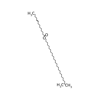 CCCCC=CCCCCCCCC(=O)OCCCCCCCCCCCCCCCCCCCCCCCCCC(C)C